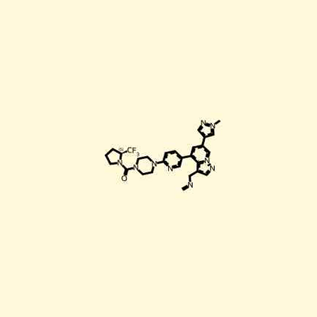 C=NCc1cnn2cc(-c3cnn(C)c3)cc(-c3ccc(N4CCN(C(=O)N5CCC[C@H]5C(F)(F)F)CC4)nc3)c12